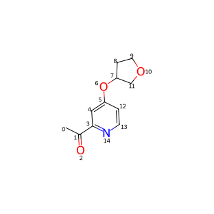 CC(=O)c1cc(OC2CCOC2)ccn1